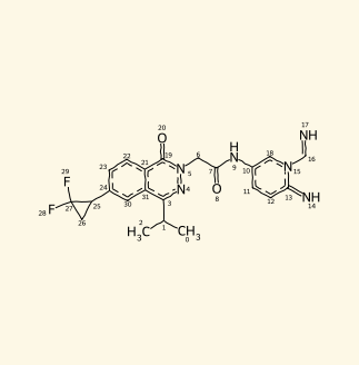 CC(C)c1nn(CC(=O)Nc2ccc(=N)n(C=N)c2)c(=O)c2ccc(C3CC3(F)F)cc12